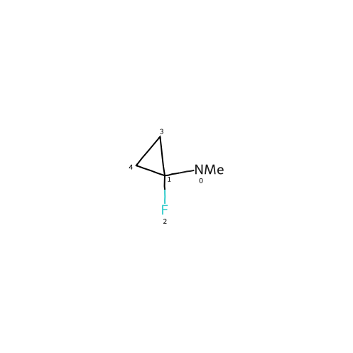 CNC1(F)CC1